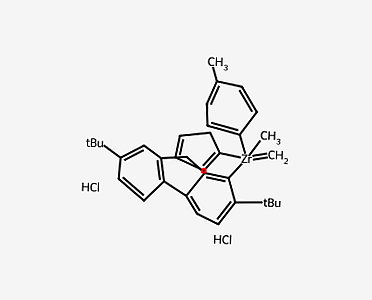 Cl.Cl.[CH2]=[Zr]([CH3])([C]1=CC=CC1)([c]1ccc(C)cc1)[c]1c(C(C)(C)C)ccc2c1Cc1cc(C(C)(C)C)ccc1-2